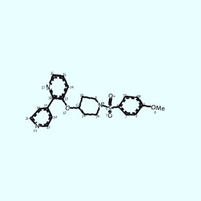 COc1ccc(S(=O)(=O)N2CCC(Oc3cccnc3-c3ccncc3)CC2)cc1